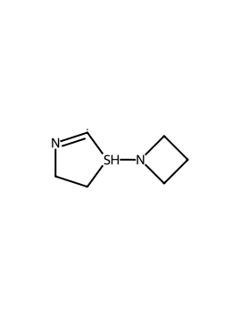 [C]1=NCC[SH]1N1CCC1